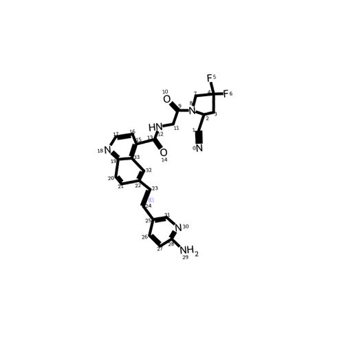 N#CC1CC(F)(F)CN1C(=O)CNC(=O)c1ccnc2ccc(/C=C/c3ccc(N)nc3)cc12